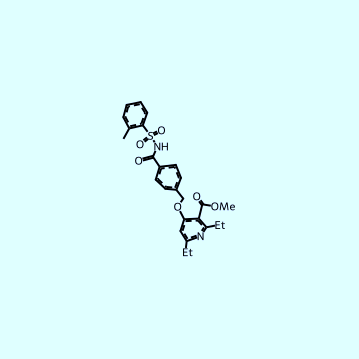 CCc1cc(OCc2ccc(C(=O)NS(=O)(=O)c3ccccc3C)cc2)c(C(=O)OC)c(CC)n1